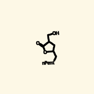 CCCCCCC1CC(CO)C(=O)O1